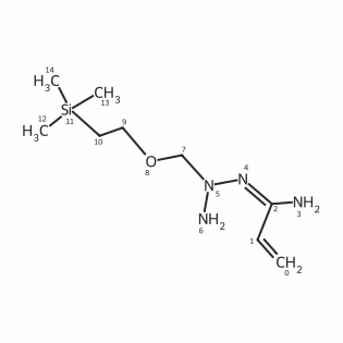 C=C/C(N)=N\N(N)COCC[Si](C)(C)C